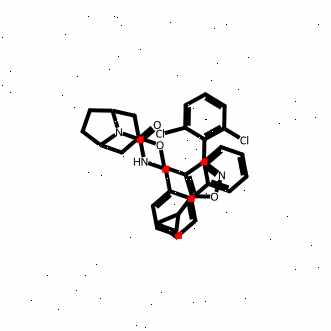 O=C(NCc1ccccc1-c1ccccc1)N1C2CCC1CC(OCc1c(-c3c(Cl)cccc3Cl)noc1C1CC1)C2